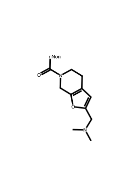 CCCCCCCCCC(=O)N1CCc2cc(CN(C)C)oc2C1